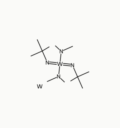 C[N](C)[W](=[N]C(C)(C)C)(=[N]C(C)(C)C)[N](C)C.[W]